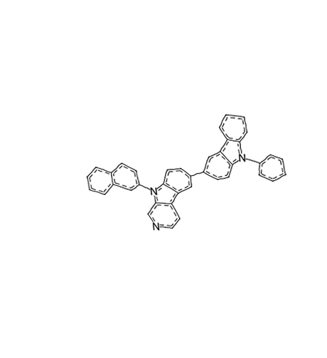 c1ccc(-n2c3ccccc3c3cc(-c4ccc5c(c4)c4ccncc4n5-c4ccc5ccccc5c4)ccc32)cc1